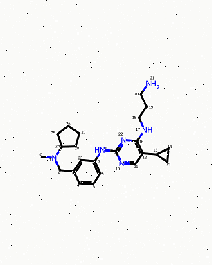 CN(Cc1cccc(Nc2ncc(C3CC3)c(NCCCN)n2)c1)C1CCCC1